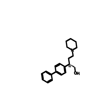 OC[C@@H](CCN1CCCCC1)c1ccc(-c2ccccc2)cc1